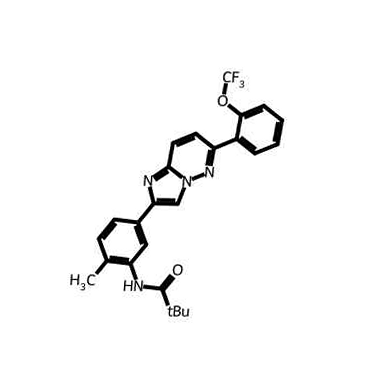 Cc1ccc(-c2cn3nc(-c4ccccc4OC(F)(F)F)ccc3n2)cc1NC(=O)C(C)(C)C